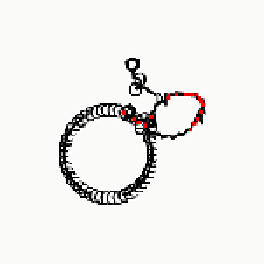 O=C(OCc1ccccc1)N1CCCCCCCCCCCCCCCCCCCCCCCCCCCCCCCCCCCCCCCC2(CCCCCCCCCCCCCCCCCCCCCCCCCCCCCCCCCCCCCCCCCCCCCC23OCCO3)C(=O)N(Cc2ccccc2)CCCC1